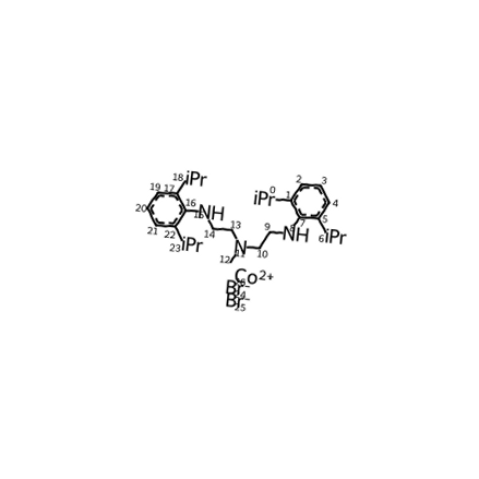 CC(C)c1cccc(C(C)C)c1NCCN(C)CCNc1c(C(C)C)cccc1C(C)C.[Br-].[Br-].[Co+2]